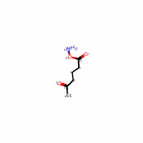 CCC(=O)CCCC(=O)ON